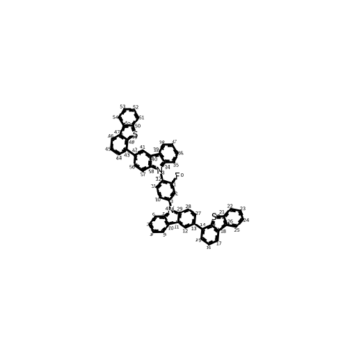 Fc1cc(-n2c3ccccc3c3cc(-c4cccc5c4sc4ccccc45)ccc32)ccc1-n1c2ccccc2c2cc(-c3cccc4c3sc3ccccc34)ccc21